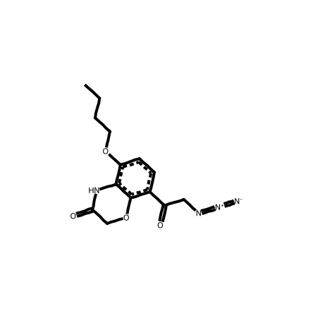 CCCCOc1ccc(C(=O)CN=[N+]=[N-])c2c1NC(=O)CO2